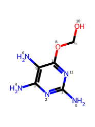 Nc1nc(N)c(N)c(OCO)n1